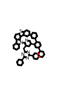 c1ccc(-c2ccc(-c3ccccc3)c(-c3cnc(-n4c5ccccc5c5ccc6sc7ccccc7c6c54)c(Cc4nc(-c5ccccc5)nc(-c5ccccc5)n4)c3)c2)cc1